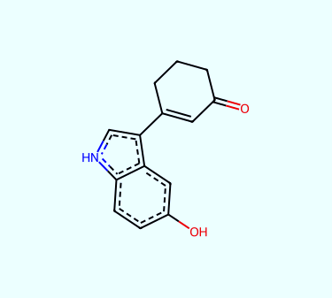 O=C1C=C(c2c[nH]c3ccc(O)cc23)CCC1